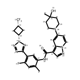 Cc1cc(F)c(-c2nnn([C@H]3C[C@@H](C(F)(F)F)C3)n2)cc1NC(=O)c1cnn2ccc(N3CCC(C)(O)CC3)cc12